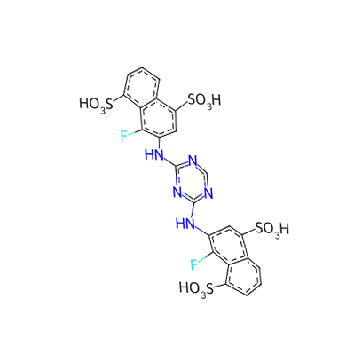 O=S(=O)(O)c1cc(Nc2ncnc(Nc3cc(S(=O)(=O)O)c4cccc(S(=O)(=O)O)c4c3F)n2)c(F)c2c(S(=O)(=O)O)cccc12